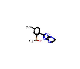 COc1ccc(-c2nc3nccnc3[nH]2)c([S+](C)[O-])c1